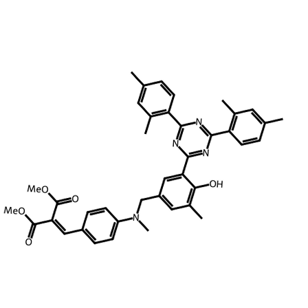 COC(=O)C(=Cc1ccc(N(C)Cc2cc(C)c(O)c(-c3nc(-c4ccc(C)cc4C)nc(-c4ccc(C)cc4C)n3)c2)cc1)C(=O)OC